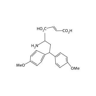 COc1ccc(C(CC(C)N)c2ccc(OC)cc2)cc1.O=C(O)C=CC(=O)O